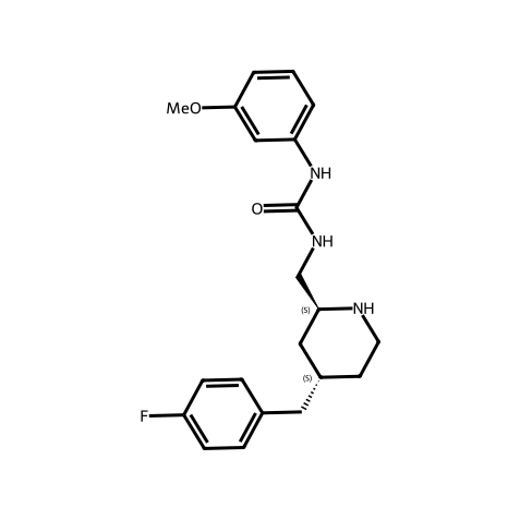 COc1cccc(NC(=O)NC[C@@H]2C[C@@H](Cc3ccc(F)cc3)CCN2)c1